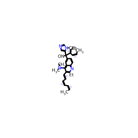 C\C=C/C=C\C=C\c1c(CC)nc2ccc(C(N=O)(C(/C=C\C)=C/CC)c3cncn3C)cc2c1N(C)C